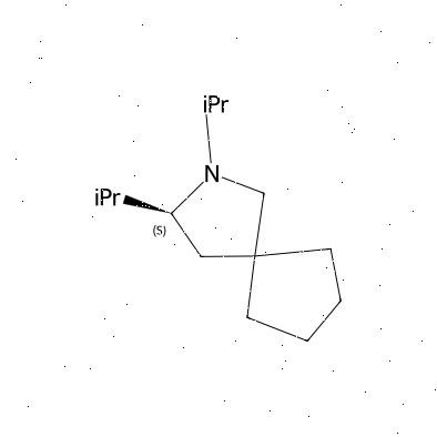 CC(C)[C@@H]1CC2(CCCC2)CN1C(C)C